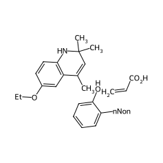 C=CC(=O)O.CCCCCCCCCc1ccccc1O.CCOc1ccc2c(c1)C(C)=CC(C)(C)N2